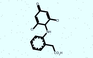 O=C1C=C(Cl)C(Nc2ccccc2CC(=O)O)C(Cl)=C1